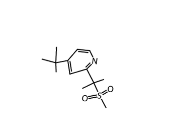 CC(C)(C)c1ccnc(C(C)(C)S(C)(=O)=O)c1